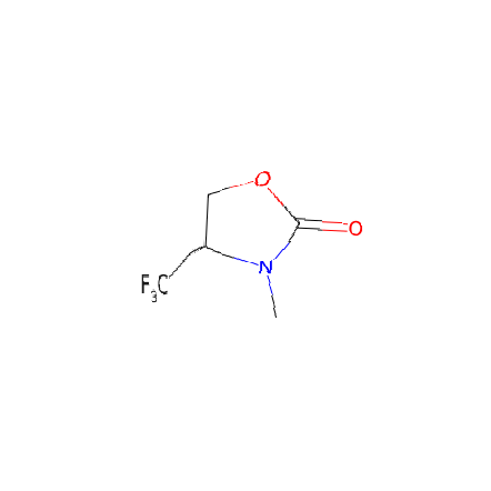 CN1C(=O)OCC1C(F)(F)F